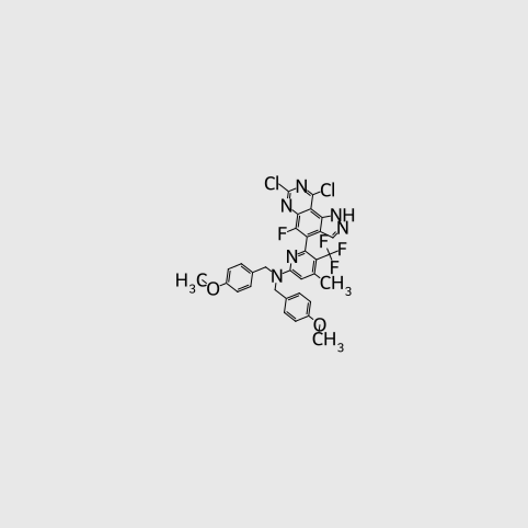 COc1ccc(CN(Cc2ccc(OC)cc2)c2cc(C)c(C(F)(F)F)c(-c3c(F)c4nc(Cl)nc(Cl)c4c4[nH]ncc34)n2)cc1